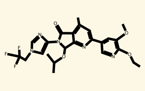 CCOc1ncc(-c2cc(C)c3c(n2)C(OC(C)C)N(c2cn(CC(F)(F)F)cn2)C3=O)cc1OC